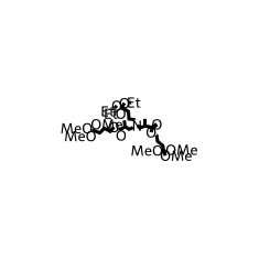 CCOC(CCCN(CC(C)C(=O)OCCCC(OC)(OC)OC)CC(C)C(=O)OCCCC(OC)(OC)OC)(OCC)OCC